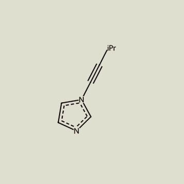 CC(C)C#Cn1ccnc1